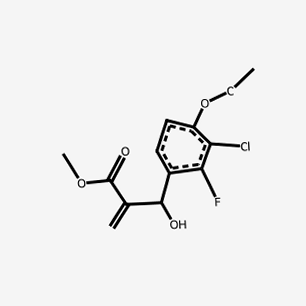 C=C(C(=O)OC)C(O)c1ccc(OCC)c(Cl)c1F